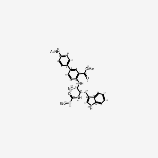 COC(=O)c1cc(-c2ccc(NC(C)=O)nc2)ccc1N[C@@H](C#N)[C@H](Cc1c[nH]c2ccccc12)NC(=O)OC(C)(C)C